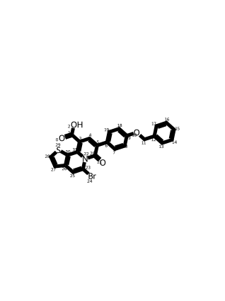 O=C(O)c1cc(-c2ccc(OCc3ccccc3)cc2)c(=O)n2c(Br)cc3ccsc3c12